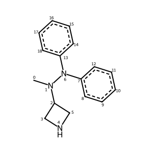 CN(C1CNC1)N(c1ccccc1)c1ccccc1